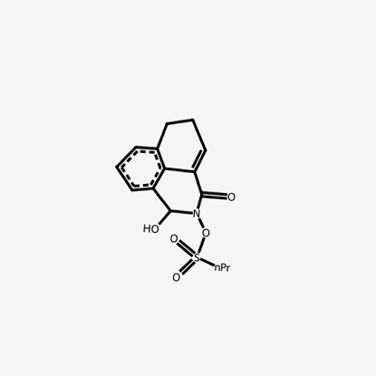 CCCS(=O)(=O)ON1C(=O)C2=CCCc3cccc(c32)C1O